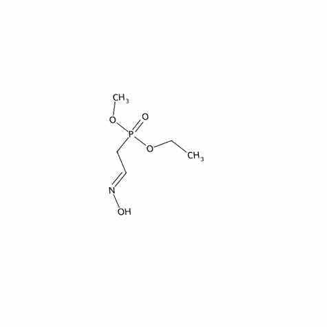 CCOP(=O)(C/C=N/O)OC